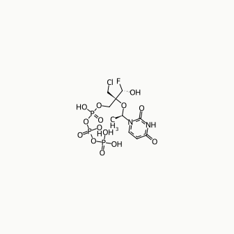 C[C@@H](O[C@](CCl)(COP(=O)(O)OP(=O)(O)OP(=O)(O)O)[C@@H](O)F)n1ccc(=O)[nH]c1=O